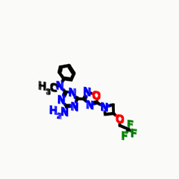 CN(c1ccccc1)c1nc(N)nc(-c2noc(N3CC(OCC(F)(F)F)C3)n2)n1